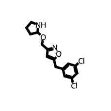 Clc1cc(Cl)cc(Cc2cc(COC3CCCN3)no2)c1